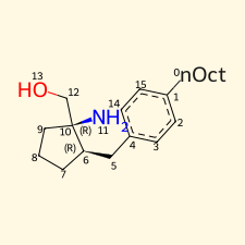 CCCCCCCCc1ccc(C[C@H]2CCC[C@]2(N)CO)cc1